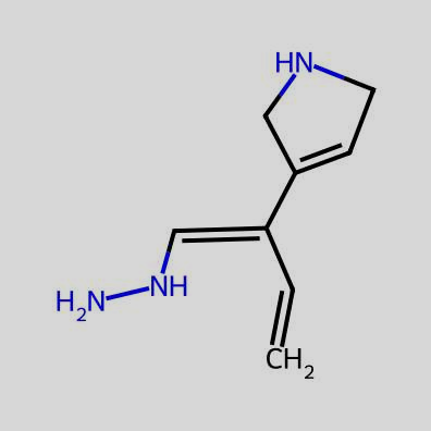 C=C/C(=C\NN)C1=CCNC1